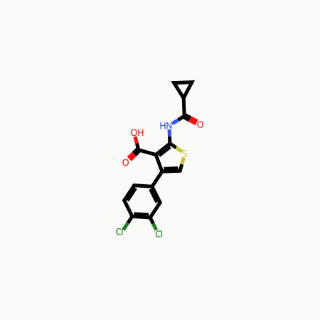 O=C(O)c1c(-c2ccc(Cl)c(Cl)c2)csc1NC(=O)C1CC1